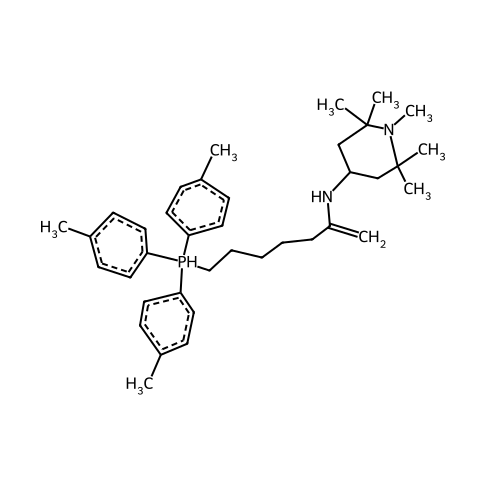 C=C(CCCCC[PH](c1ccc(C)cc1)(c1ccc(C)cc1)c1ccc(C)cc1)NC1CC(C)(C)N(C)C(C)(C)C1